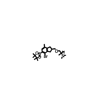 Cc1cc(B2OC(C)(C)C(C)(C)O2)c(Br)c2c1CC(COCC(C)(C)[SiH](C)C)C2